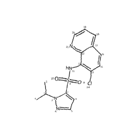 CC(C)n1nccc1S(=O)(=O)Nc1c(Cl)ccc2cccnc12